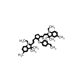 C=Cc1ccc(OC2=C(/C=C/C3=[N+](CC)c4ccc(C)cc4C3(C)C)CC/C2=C\C=C2\N(CC)c3ccc(C)cc3C2(C)C)cc1